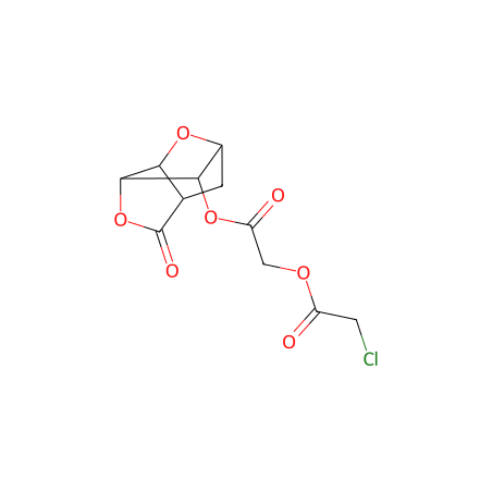 O=C(CCl)OCC(=O)OC1C2CC3C(=O)OC1C3O2